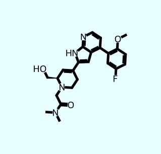 COc1ccc(F)cc1-c1ccnc2[nH]c(C3=C[C@H](CO)N(CC(=O)N(C)C)CC3)cc12